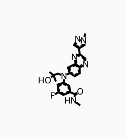 CNC(=O)c1cc(F)cc(N(CC(C)(C)O)c2ccc3ncc(-c4cnn(C)c4)nc3c2)c1